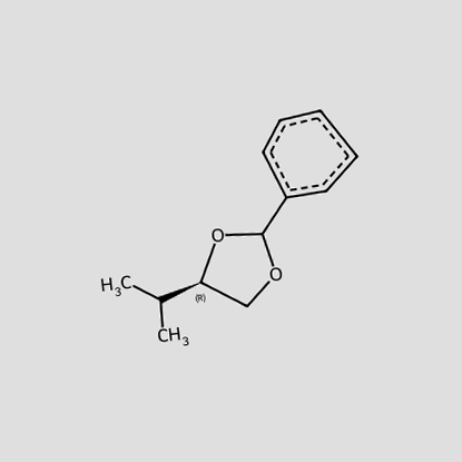 CC(C)[C@@H]1COC(c2ccccc2)O1